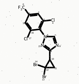 FC(F)(F)c1cc(Cl)c(-n2cnc(C3CC3(Br)Br)n2)c(Cl)c1